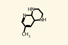 CC1=CC2NCCNC2N=C1